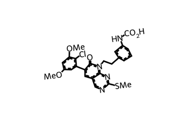 COc1cc(OC)c(Cl)c(-c2cc3cnc(SC)nc3n(CCc3cccc(NC(=O)O)c3)c2=O)c1